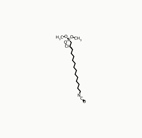 CO[Si](CCCCCCCCCCCCCCCN=C=O)(OC)OC